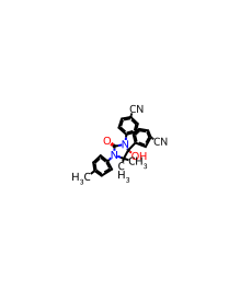 Cc1ccc(N2C(=O)N(c3ccc(C#N)cc3)C(O)(c3cccc(C#N)c3)C2(C)C)cc1